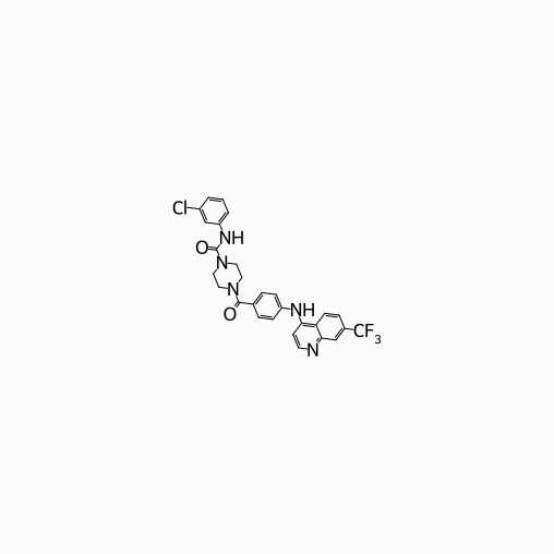 O=C(Nc1cccc(Cl)c1)N1CCN(C(=O)c2ccc(Nc3ccnc4cc(C(F)(F)F)ccc34)cc2)CC1